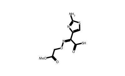 COC(=O)CO/N=C(\C(=O)S)c1csc(N)n1